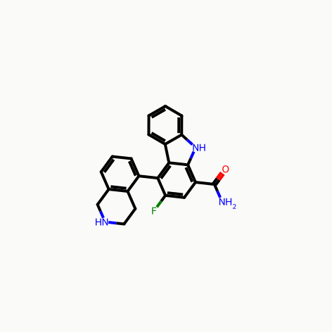 NC(=O)c1cc(F)c(-c2cccc3c2CCNC3)c2c1[nH]c1ccccc12